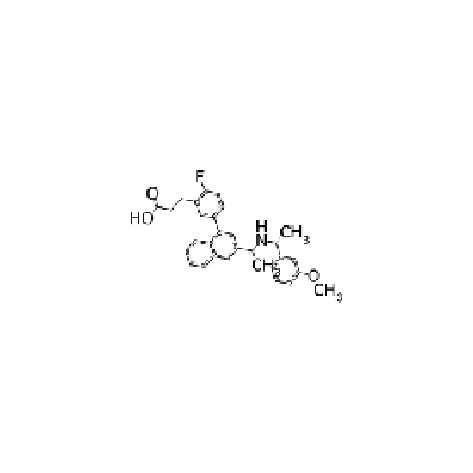 COc1cccc([C@@H](C)NC(C)c2cc(-c3ccc(F)c(CCC(=O)O)c3)c3ccccc3c2)c1